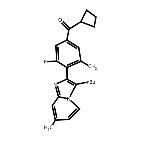 CCCCc1c(-c2c(C)cc(C(=O)C3CCC3)cc2F)nc2cc(C)ccn12